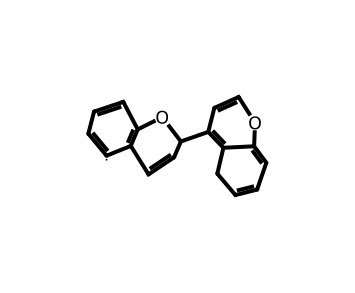 [c]1cccc2c1C=CC(C1=C3CC=CC=C3OC=C1)O2